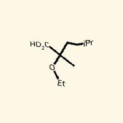 CCOC(C)(CC(C)C)C(=O)O